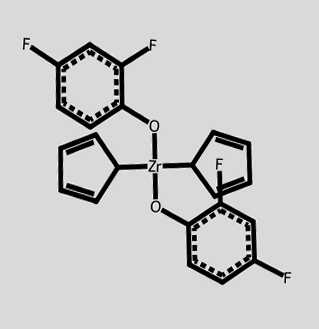 Fc1ccc([O][Zr]([O]c2ccc(F)cc2F)([CH]2C=CC=C2)[CH]2C=CC=C2)c(F)c1